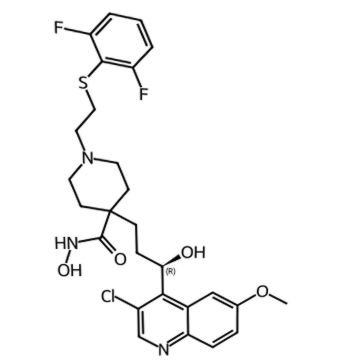 COc1ccc2ncc(Cl)c([C@H](O)CCC3(C(=O)NO)CCN(CCSc4c(F)cccc4F)CC3)c2c1